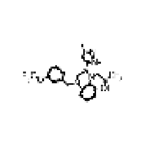 Cc1cc([C@@H]2CN(Cc3cccc(OC(F)(F)F)c3)c3ccccc3N2C[C@@H](O)C(F)(F)F)n(C)n1